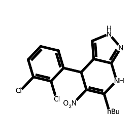 CCCCC1=C([N+](=O)[O-])C(c2cccc(Cl)c2Cl)c2c[nH]nc2N1